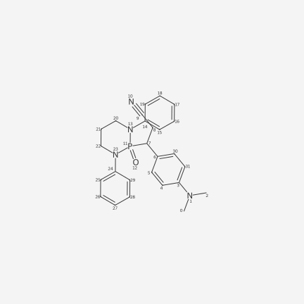 CN(C)c1ccc(C(CC#N)P2(=O)N(c3ccccc3)CCCN2c2ccccc2)cc1